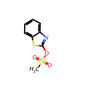 CS(=O)(=O)Oc1nc2ccccc2s1